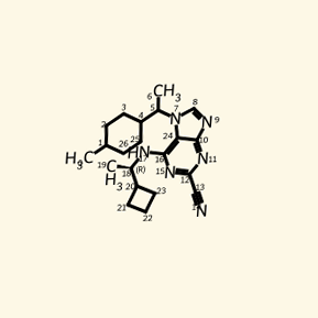 CC1CCC(C(C)n2cnc3nc(C#N)nc(N[C@H](C)C4CCC4)c32)CC1